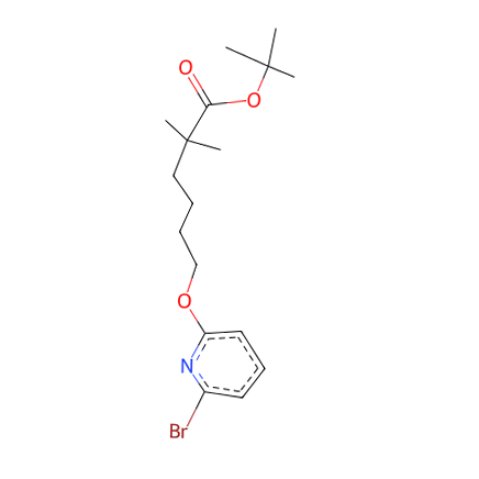 CC(C)(C)OC(=O)C(C)(C)CCCCOc1cccc(Br)n1